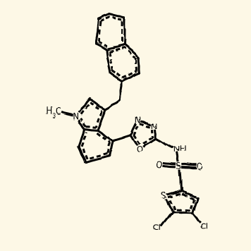 Cn1cc(Cc2ccc3ccccc3c2)c2c(-c3nnc(NS(=O)(=O)c4cc(Cl)c(Cl)s4)o3)cccc21